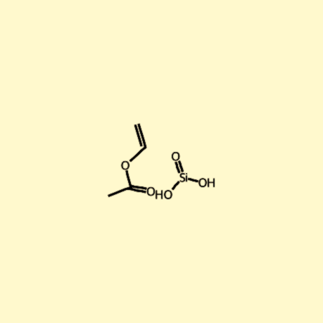 C=COC(C)=O.O=[Si](O)O